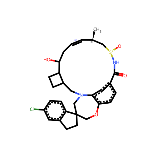 C[C@@H]1/C=C\CC(O)C2CCC2CN2CC3(CCc4cc(Cl)ccc43)COc3ccc(cc32)C(=O)N[S+]([O-])C1